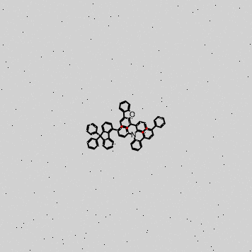 c1ccc(-c2ccc(-c3ccccc3N(c3ccc(-c4cccc5c4-c4ccccc4C5(c4ccccc4)c4ccccc4)cc3)c3ccccc3-c3cccc4c3oc3ccccc34)cc2)cc1